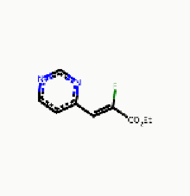 CCOC(=O)/C(F)=C/c1ccncn1